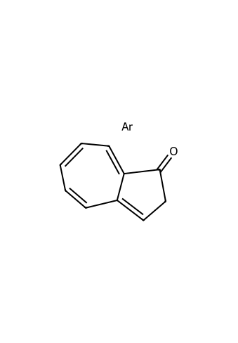 O=C1CC=C2C=CC=CC=C12.[Ar]